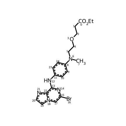 CCOC(=O)CCOCCN(C)c1ccc(Nc2nc(Br)cn3ccnc23)cc1